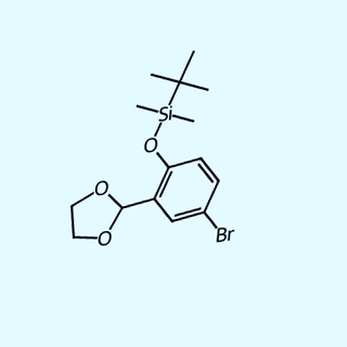 CC(C)(C)[Si](C)(C)Oc1ccc(Br)cc1C1OCCO1